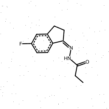 CCC(=O)N/N=C1/CCc2cc(F)ccc21